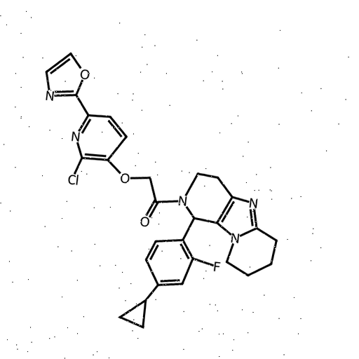 O=C(COc1ccc(-c2ncco2)nc1Cl)N1CCc2nc3n(c2C1c1ccc(C2CC2)cc1F)CCCC3